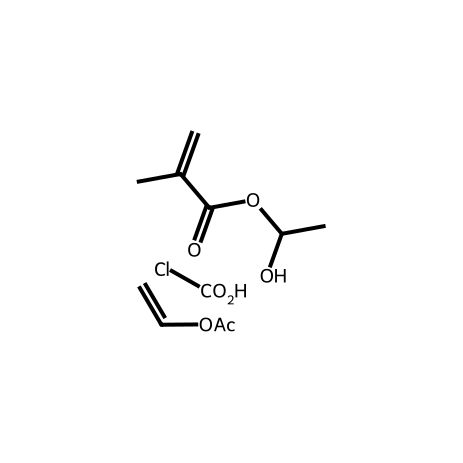 C=C(C)C(=O)OC(C)O.C=COC(C)=O.O=C(O)Cl